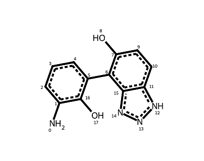 Nc1cccc(-c2c(O)ccc3[nH]nnc23)c1O